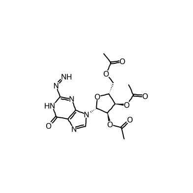 CC(=O)OC[C@H]1O[C@@H](n2cnc3c(=O)[nH]c(N=N)nc32)[C@H](OC(C)=O)[C@@H]1OC(C)=O